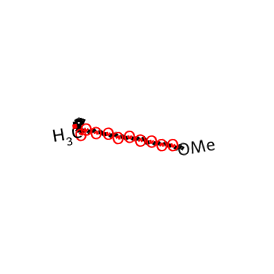 COCCOCCOCCOCCOCCOCCOCCOCCOCCOC(=O)C1(C)CC2C=CC1C2